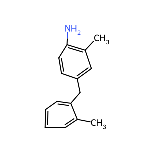 Cc1cc(Cc2ccccc2C)ccc1N